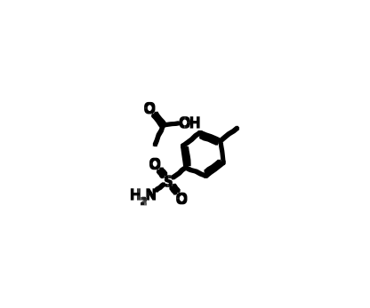 CC(=O)O.Cc1ccc(S(N)(=O)=O)cc1